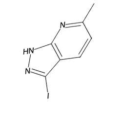 Cc1ccc2c(I)n[nH]c2n1